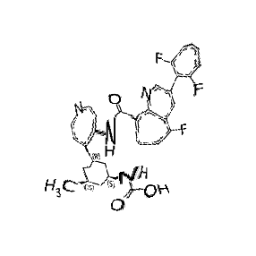 C[C@@H]1C[C@H](NC(=O)O)C[C@H](c2ccncc2NC(=O)c2ccc(F)c3cc(-c4c(F)cccc4F)cnc23)C1